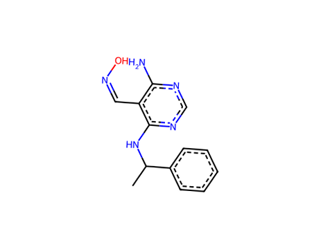 CC(Nc1ncnc(N)c1/C=N\O)c1ccccc1